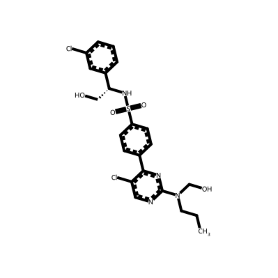 CCCN(CO)c1ncc(Cl)c(-c2ccc(S(=O)(=O)N[C@H](CO)c3cccc(Cl)c3)cc2)n1